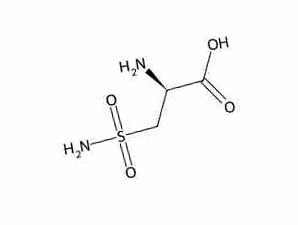 N[C@H](CS(N)(=O)=O)C(=O)O